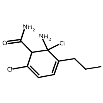 CCCC1=CC=C(Cl)C(C(N)=O)C1(N)Cl